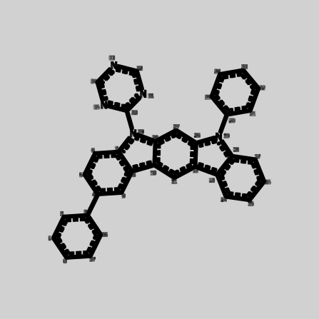 c1ccc(-c2ccc3c(c2)c2cc4c5ccccc5n(-c5ccccc5)c4cc2n3-c2ncncn2)cc1